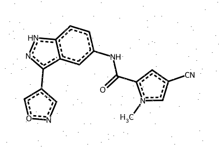 Cn1cc(C#N)cc1C(=O)Nc1ccc2[nH]nc(-c3cnoc3)c2c1